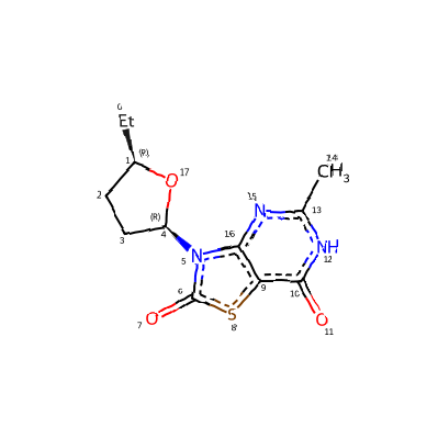 CC[C@@H]1CC[C@H](n2c(=O)sc3c(=O)[nH]c(C)nc32)O1